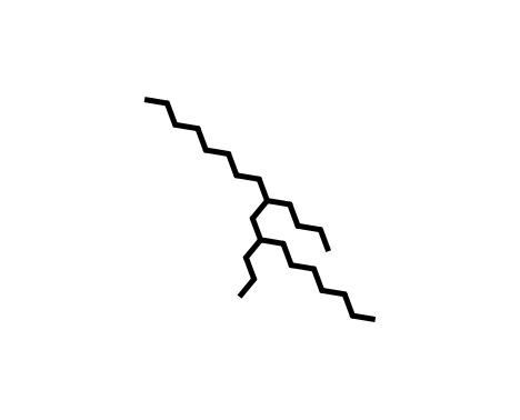 CCCCCCCCC(CCCC)CC(CCC)CCCCCCC